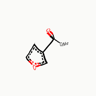 COC(=O)c1[c]coc1